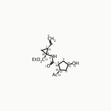 C=C[C@@H]1C[C@]1(NC(=O)[C@@H]1C[C@@H](O)C[C@H]1C(C)=O)C(=O)OCC